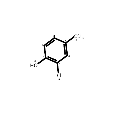 Oc1ccc(C(Cl)(Cl)Cl)cc1Cl